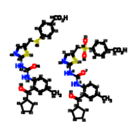 Cc1ccc(NC(=O)Nc2ncc(CS(=O)(=O)c3ccc(C(=O)O)cc3)s2)c(C(=O)C2CCCC2)c1.Cc1ccc(NC(=O)Nc2ncc(CSc3ccc(C(=O)O)cc3)s2)c(C(=O)C2CCCC2)c1